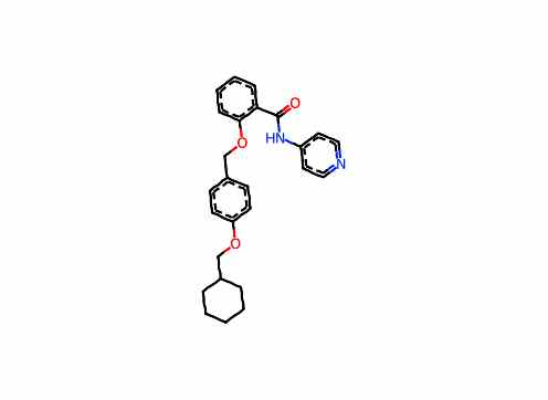 O=C(Nc1ccncc1)c1ccccc1OCc1ccc(OCC2CCCCC2)cc1